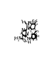 Cc1cccc(Nc2nc(N[C@H]3CCCC(F)(F)[C@H]3N)ncc2C(N)=O)c1